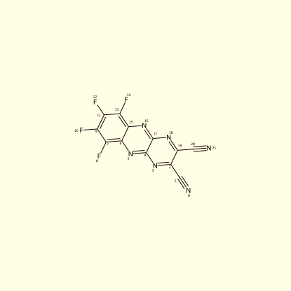 N#Cc1nc2nc3c(F)c(F)c(F)c(F)c3nc2nc1C#N